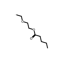 [CH2]COCCOC(=O)CCCC